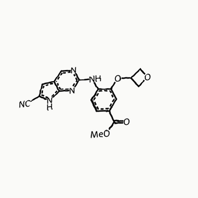 COC(=O)c1ccc(Nc2ncc3cc(C#N)[nH]c3n2)c(OC2COC2)c1